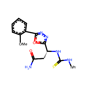 CCCNC(=S)N[C@H](CC(N)=O)c1nnc(-c2ccccc2OC)o1